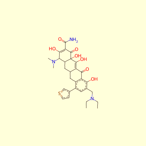 CCN(CC)Cc1cc(-c2ccsc2)c2c(c1O)C(=O)C1=C(O)C3(O)C(=O)C(C(N)=O)=C(O)C(N(C)C)C3CC1C2